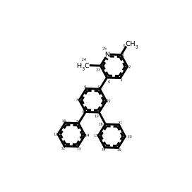 Cc1ccc(-c2ccc(-c3ccccc3)c(-c3ccccc3)c2)c(C)n1